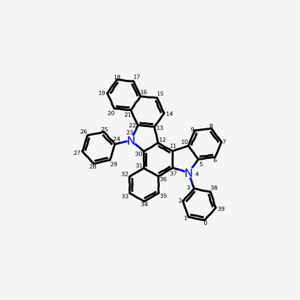 c1ccc(-n2c3ccccc3c3c4c5ccc6ccccc6c5n(-c5ccccc5)c4c4ccccc4c32)cc1